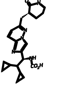 O=C(O)N[C@H](c1cn2nc(C[C@H]3CCCNC3=O)ccc2n1)C(C1CC1)C1CC1